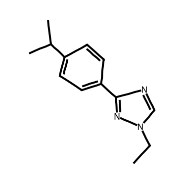 CCn1cnc(-c2ccc(C(C)C)cc2)n1